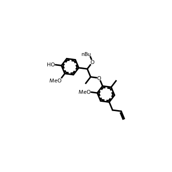 C=CCc1cc(C)c(OC(C)C(OCCCC)c2ccc(O)c(OC)c2)c(OC)c1